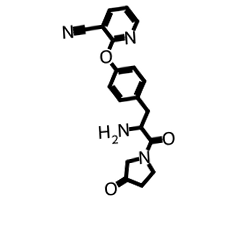 N#Cc1cccnc1Oc1ccc(CC(N)C(=O)N2CCC(=O)C2)cc1